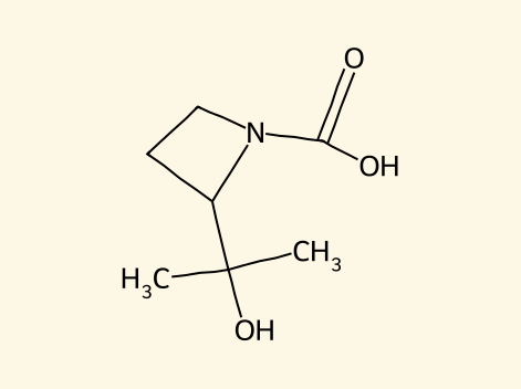 CC(C)(O)C1CCN1C(=O)O